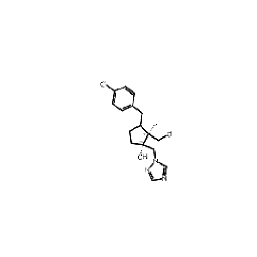 C[C@@]1(CCl)C(Cc2ccc(Cl)cc2)CC[C@]1(O)Cn1cncn1